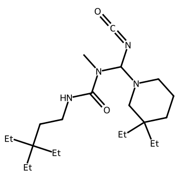 CCC(CC)(CC)CCNC(=O)N(C)C(N=C=O)N1CCCC(CC)(CC)C1